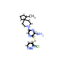 C[C@@H]1CCCC12CCN(c1cnc(Sc3ccnnc3Cl)c(N)n1)CC2